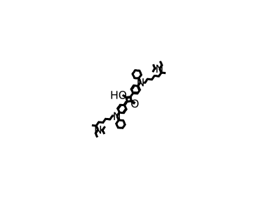 CCN(C(C)C)C(C)CCCCCN(c1ccc(C2=C(O)C(=C3C=CC(N(CCCCCC(C)N(CC)C(C)C)C4CCCCC4)C=C3)C2=O)cc1)C1CCCCC1